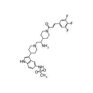 CS(=O)(=O)Nc1ccc2[nH]cc(C3CCN(CC(N)C4CCN(C(=O)/C=C/c5cc(F)c(F)c(F)c5)CC4)CC3)c2c1